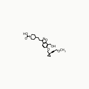 COCC#CC1(COc2ccc3c(CCC4CCN(C(=O)O)CC4)noc3c2CO)CC1